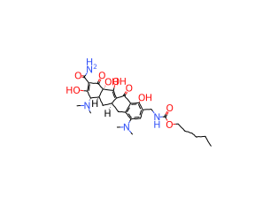 CCCCCCOC(=O)NCc1cc(N(C)C)c2c(c1O)C(=O)C1=C(O)[C@]3(O)C(=O)C(C(N)=O)=C(O)[C@@H](N(C)C)[C@@H]3C[C@@H]1C2